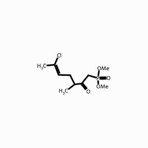 COP(=O)(CC(=O)C(C)CC=C(C)Cl)OC